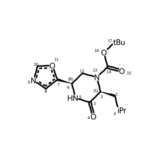 CC(C)C[C@H]1C(=O)N[C@@H](c2cnco2)CN1C(=O)OC(C)(C)C